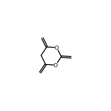 C=C1CC(=C)OC(=C)O1